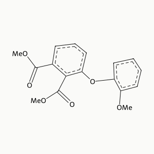 COC(=O)c1cccc(Oc2ccccc2OC)c1C(=O)OC